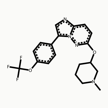 CN1CCCC(Oc2ccc3ncc(-c4ccc(OC(F)(F)F)cc4)n3n2)C1